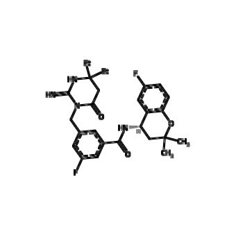 CCC1(CC)CC(=O)N(Cc2cc(F)cc(C(=O)N[C@H]3CC(C)(C)Oc4ccc(F)cc43)c2)C(=N)N1